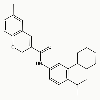 C[C](C)c1ccc(NC(=O)C2=Cc3cc(C)ccc3OC2)cc1C1CCCCC1